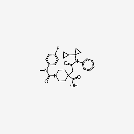 CN(C(=O)N1CCC(CC(=O)N(c2ccccc2)C2(C3CC3)CC2)(C(=O)O)CC1)c1ccc(F)cc1